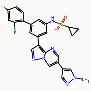 Cn1cc(-c2cnc3c(-c4cc(NS(=O)(=O)C5CC5)cc(-c5ccc(F)cc5F)c4)cnn3c2)cn1